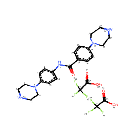 O=C(Nc1ccc(N2CCNCC2)cc1)c1ccc(N2CCNCC2)cc1.O=C(O)C(F)(F)F.O=C(O)C(F)(F)F